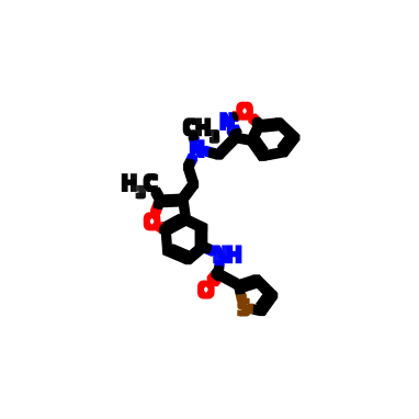 Cc1oc2ccc(NC(=O)c3cccs3)cc2c1CCN(C)Cc1noc2ccccc12